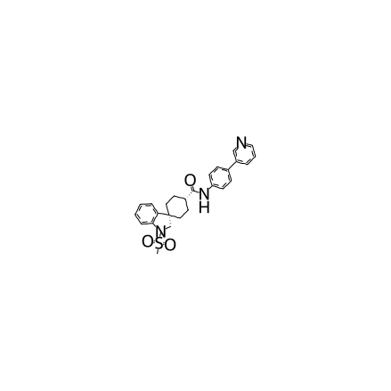 CS(=O)(=O)N1C[C@]2(CC[C@@H](C(=O)Nc3ccc(-c4cccnc4)cc3)CC2)c2ccccc21